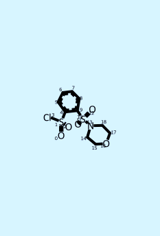 O=S(=O)(Cl)c1ccccc1S(=O)(=O)N1CCOCC1